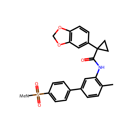 CNS(=O)(=O)c1ccc(-c2ccc(C)c(NC(=O)C3(c4ccc5c(c4)OCO5)CC3)c2)cc1